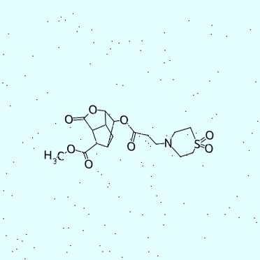 COC(=O)C1C2CC3C(OC(=O)C31)C2OC(=O)CCN1CCS(=O)(=O)CC1